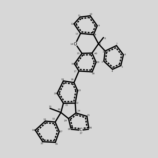 CC1(c2ccccc2)c2ccccc2Oc2cc(-c3ccc4c(c3)-c3ccccc3C4(C)c3ccccc3)ccc21